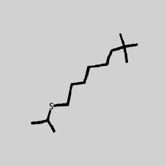 CC(C)SCCCCCCC(C)(C)C